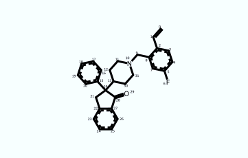 C=Cc1ccc(F)cc1CN1CCC(C2(c3ccccc3)Cc3ccccc3C2=O)CC1